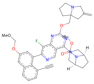 C#Cc1cccc2cc(OCOC)cc(-c3ncc4c(N5C[C@H]6CC[C@@H](C5)N6C(=O)OC(C)(C)C)nc(OCC56CCCN5CC(=C)C6)nc4c3F)c12